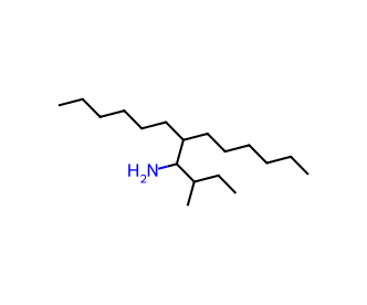 CCCCCCC(CCCCCC)C(N)C(C)CC